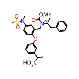 COC(=O)N(Cc1cc(N(C)S(C)(=O)=O)ccc1Oc1cccc(C(C)C(=O)O)c1)[C@@H](C)Cc1ccccc1